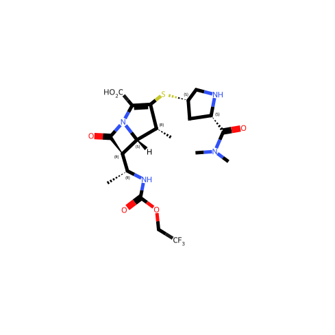 C[C@@H](NC(=O)OCC(F)(F)F)[C@H]1C(=O)N2C(C(=O)O)=C(S[C@@H]3CN[C@H](C(=O)N(C)C)C3)[C@H](C)[C@H]12